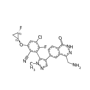 Cn1ncc(-c2ccc3c(=O)[nH]nc(CN)c3c2)c1-c1c(F)c(Cl)cc(O[C@H]2C[C@@H]2F)c1C#N